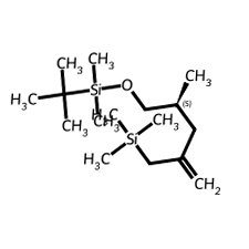 C=C(C[C@H](C)CO[Si](C)(C)C(C)(C)C)C[Si](C)(C)C